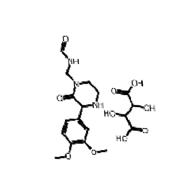 COc1ccc(C2NCCN(CNC=O)C2=O)cc1OC.O=C(O)C(O)C(O)C(=O)O